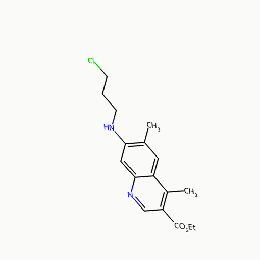 CCOC(=O)c1cnc2cc(NCCCCl)c(C)cc2c1C